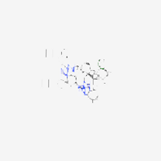 CCCc1nc2c(C)cc(-c3nc4ccccc4n3C)cc2n1CC1C=CC(C2CC=CC=C2Cl)=CC1